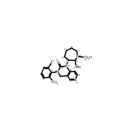 Cc1cccc(F)c1N1Cc2cnccc2N([C@H]2CCCCN(C(=O)O)C2C(C)(C)C)C1=O